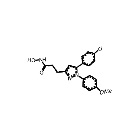 COc1ccc(-n2nc(CCC(=O)NO)cc2-c2ccc(Cl)cc2)cc1